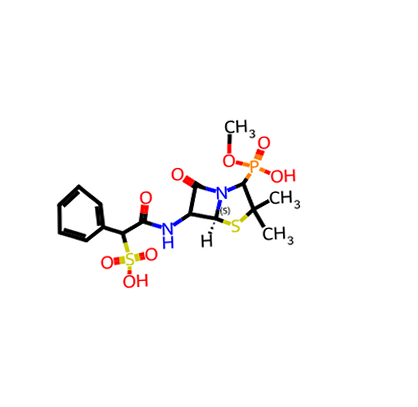 COP(=O)(O)C1N2C(=O)C(NC(=O)C(c3ccccc3)S(=O)(=O)O)[C@@H]2SC1(C)C